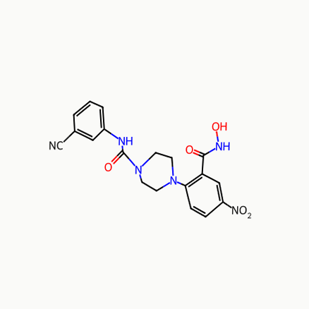 N#Cc1cccc(NC(=O)N2CCN(c3ccc([N+](=O)[O-])cc3C(=O)NO)CC2)c1